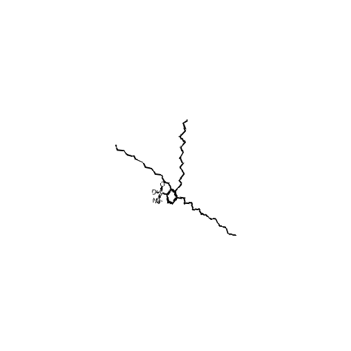 CCCCCCCCCCCCCc1ccc(S(=O)(=O)[O-])c(CCCCCCCCCCCCC)c1CCCCCCCCCCCCC.[Na+]